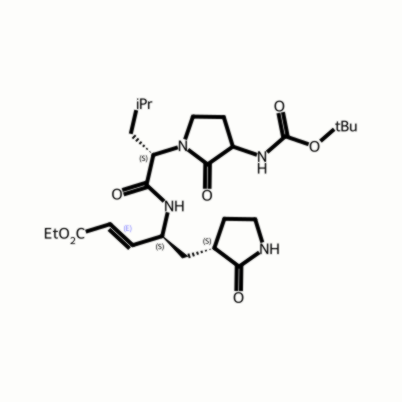 CCOC(=O)/C=C/[C@H](C[C@@H]1CCNC1=O)NC(=O)[C@H](CC(C)C)N1CCC(NC(=O)OC(C)(C)C)C1=O